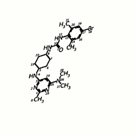 Cc1nc(NC2CCC(NC(=O)Nc3c(C)cc(Br)cc3C)CC2)cc(N(C)C)n1